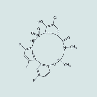 C[C@H]1CN(C)C(=O)c2cc(Cl)c(O)c(c2)S(=O)(=O)Nc2cc(c(F)cc2F)-c2cc(F)ccc2O1